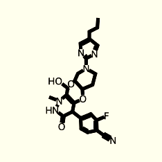 CCCc1cnc(N2CCC(OC3=C(C(=O)O)N(C)NC(=O)C3c3ccc(C#N)c(F)c3)CC2)nc1